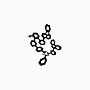 N#Cc1cccc(-c2ccccc2-c2ccc3c4c(cccc24)-c2ccccc2-3)c1-c1cccc(-c2ccc(-c3nc(-c4ccccc4)nc(-c4cccc(-c5cc6ccccc6c6ccccc56)c4)n3)cc2)c1